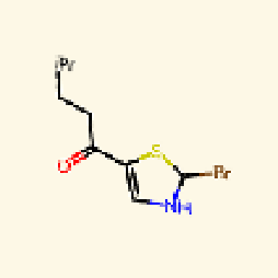 CC(C)CCC(=O)C1=CNC(Br)S1